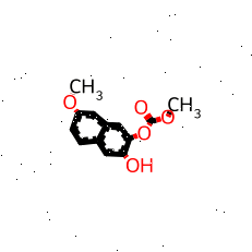 COC(=O)Oc1cc2cc(OC)ccc2cc1O